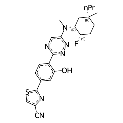 CCC[C@]1(C)CC[C@H](F)[C@H](N(C)c2cnc(-c3ccc(-c4nc(C#N)cs4)cc3O)nn2)C1